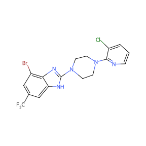 FC(F)(F)c1cc(Br)c2nc(N3CCN(c4ncccc4Cl)CC3)[nH]c2c1